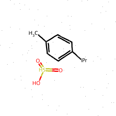 Cc1ccc(C(C)C)cc1.O=[SH](=O)O